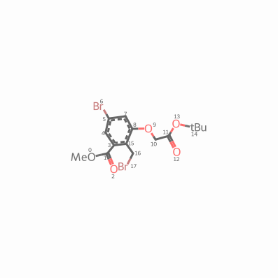 COC(=O)c1cc(Br)cc(OCC(=O)OC(C)(C)C)c1CBr